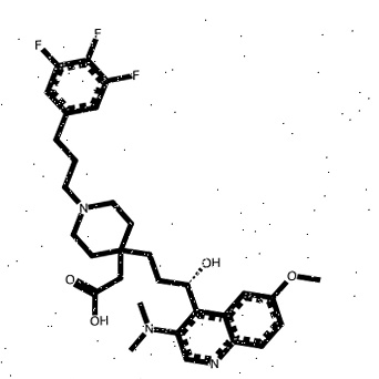 COc1ccc2ncc(N(C)C)c([C@@H](O)CCC3(CC(=O)O)CCN(CCCc4cc(F)c(F)c(F)c4)CC3)c2c1